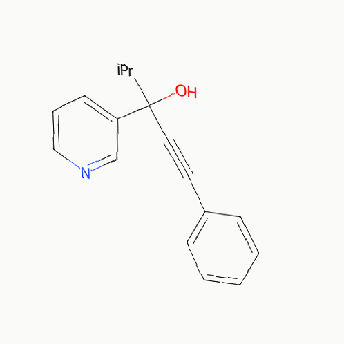 CC(C)C(O)(C#Cc1ccccc1)c1cccnc1